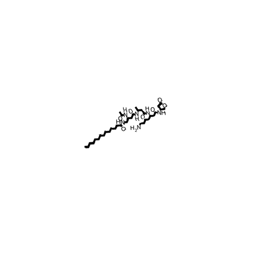 CCCCCCCCCCCCCC(=O)NCC(CC(=O)NC(C)CC(=O)NC(CCCCN)CC(=O)NC1COC(=O)C1)NC(C)=O